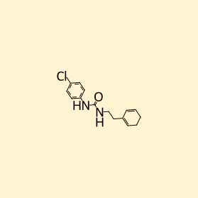 O=C(NCCC1=CCCC=C1)Nc1ccc(Cl)cc1